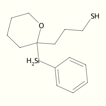 SCCCC1([SiH2]c2ccccc2)CCCCO1